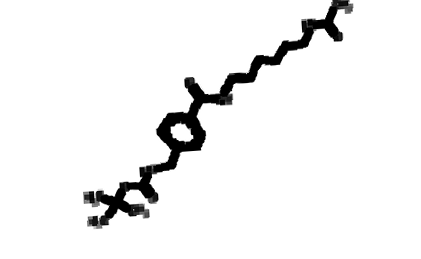 CC(=O)NCCCCCCNC(=O)c1ccc(CNC(=O)OC(C)(C)C)cc1